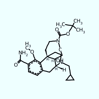 COc1c(C(N)=O)ccc2c1[C@@]13CCN(C(=O)OC(C)(C)C)CC[C@@]1(O)[C@@H](C2)N(CC1CC1)CC3